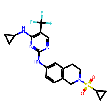 O=S(=O)(C1CC1)N1CCc2cc(Nc3ncc(C(F)(F)F)c(NC4CC4)n3)ccc2C1